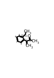 C=C(C(C)=O)c1ccccc1CC